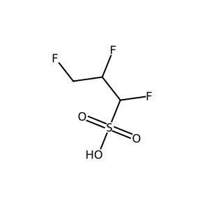 O=S(=O)(O)C(F)C(F)CF